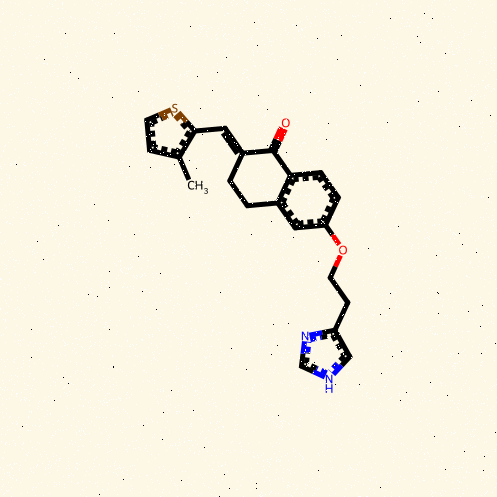 Cc1ccsc1C=C1CCc2cc(OCCc3c[nH]cn3)ccc2C1=O